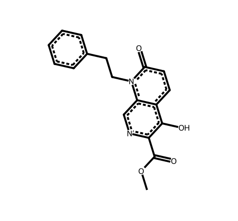 COC(=O)c1ncc2c(ccc(=O)n2CCc2ccccc2)c1O